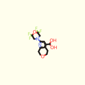 OC(O)c1cc(N2CC(F)(F)OC(F)(F)C2)nc2c1CCOCC2